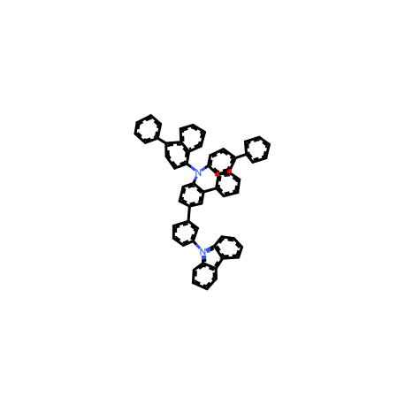 c1ccc(-c2ccc(N(c3ccc(-c4cccc(-n5c6ccccc6c6ccccc65)c4)cc3-c3ccccc3)c3ccc(-c4ccccc4)c4ccccc34)cc2)cc1